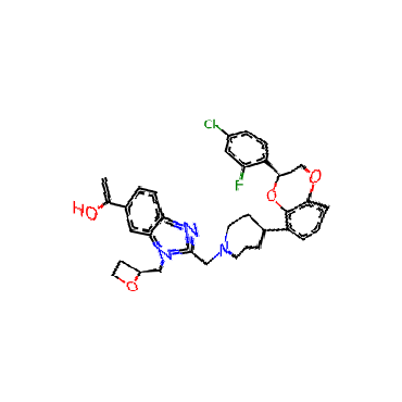 C=C(O)c1ccc2nc(CN3CCC(c4cccc5c4O[C@@H](c4ccc(Cl)cc4F)CO5)CC3)n(C[C@@H]3CCO3)c2c1